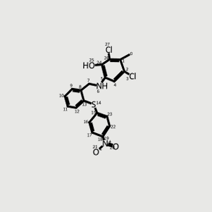 Cc1c(Cl)cc(NCc2ccccc2Sc2ccc([N+](=O)[O-])cc2)c(O)c1Cl